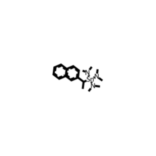 C[CH](c1ccc2ccccc2c1)[Sn]([N](C)C)([N](C)C)[N](C)C